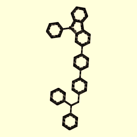 c1ccc(C(Cc2ccc(-c3ccc(-c4ccc5c6ccccc6n(-c6ccccc6)c5c4)cc3)cc2)c2ccccc2)cc1